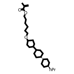 C=C(C)C(=O)OCCCCCCOC1CC[C](C2CCC([C@H]3CC[C@H](CCC)CC3)CC2)CC1